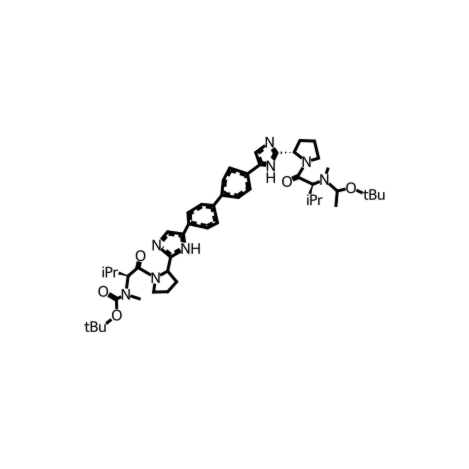 CC(C)[C@@H](C(=O)N1CCCC1c1ncc(-c2ccc(-c3ccc(-c4cnc([C@@H]5CCCN5C(=O)[C@H](C(C)C)N(C)C(C)OC(C)(C)C)[nH]4)cc3)cc2)[nH]1)N(C)C(=O)OC(C)(C)C